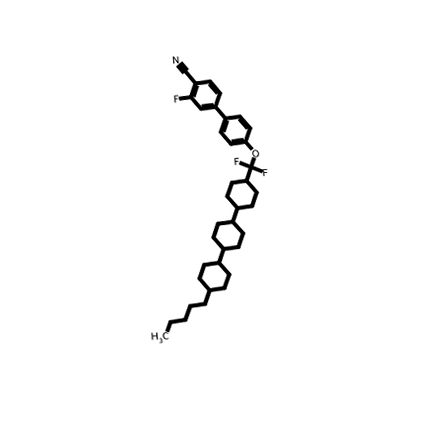 CCCCCC1CCC(C2CCC(C3CCC(C(F)(F)Oc4ccc(-c5ccc(C#N)c(F)c5)cc4)CC3)CC2)CC1